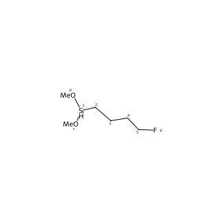 CO[SiH](CCCCF)OC